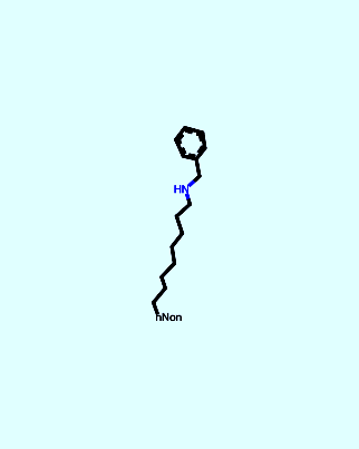 CCCCCCCCCCCCCCCCCNCc1ccccc1